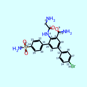 NCC(=O)Nc1c(C(N)=O)cc(-c2ccc(Br)cc2)cc1-c1ccc(S(N)(=O)=O)cc1